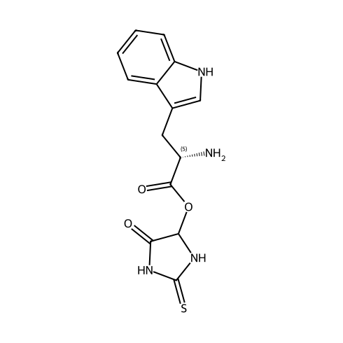 N[C@@H](Cc1c[nH]c2ccccc12)C(=O)OC1NC(=S)NC1=O